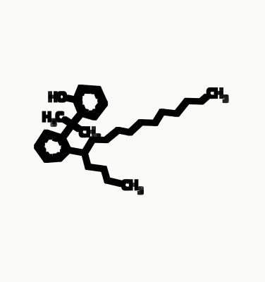 CCCCCCCCCCCC(CCCC)c1ccccc1C(C)(C)c1ccccc1O